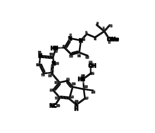 COC(C)(C)CCn1nc(Nc2nccc(-c3cc(C#N)c4c(c3)C(C)(BCO)CN4)n2)cc1C